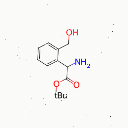 CC(C)(C)OC(=O)C(N)c1ccccc1CO